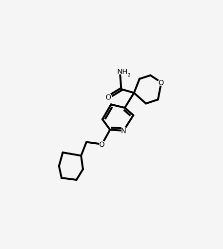 NC(=O)C1(c2ccc(OCC3CCCCC3)nc2)CCOCC1